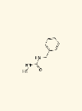 O=C(NS)NCc1ccccc1